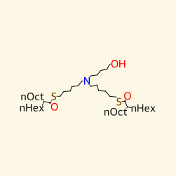 CCCCCCCCC(CCCCCC)C(=O)SCCCCCCN(CCCCCO)CCCCCCSC(=O)C(CCCCCC)CCCCCCCC